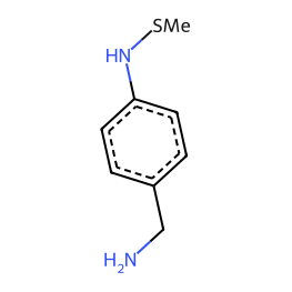 CSNc1ccc(CN)cc1